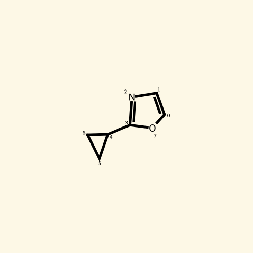 [c]1cnc(C2CC2)o1